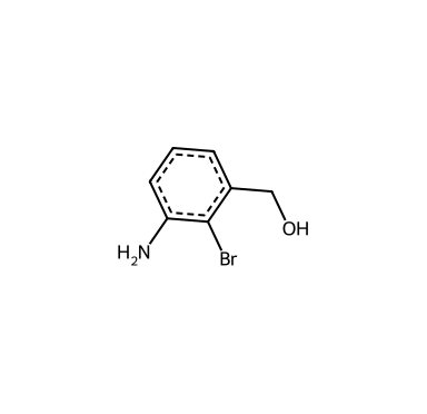 Nc1cccc(CO)c1Br